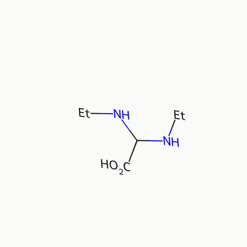 CCNC(NCC)C(=O)O